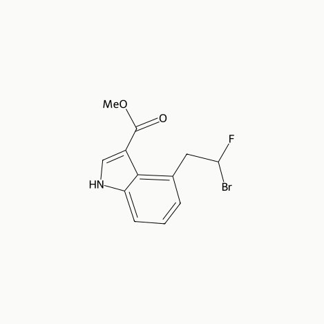 COC(=O)c1c[nH]c2cccc(CC(F)Br)c12